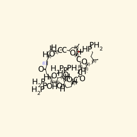 C=C1C[C@@H]2/C=C/C(=O)C[C@H]3OC4[C@@H](O[C@H]5CC[C@H](CC(=O)C[C@H]6C(C[C@H]7OC(CC[C@@H]1O2)C[C@@H](C)C7=C)O[C@H](C[C@H](C)CCPP)[C@@H]6C)O[C@@H]5[C@@H]4OP(P)P)[C@H]3OP(P)P